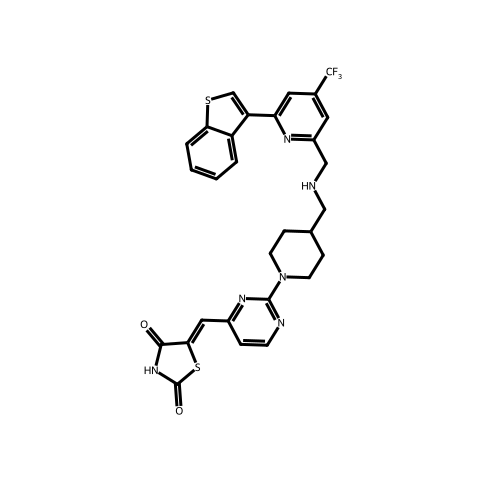 O=C1NC(=O)/C(=C/c2ccnc(N3CCC(CNCc4cc(C(F)(F)F)cc(-c5csc6ccccc56)n4)CC3)n2)S1